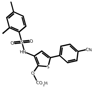 Cc1ccc(S(=O)(=O)Nc2cc(-c3ccc(C#N)cc3)sc2OC(=O)O)c(C)c1